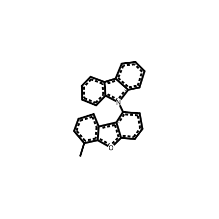 Cc1cccc2c1oc1cccc(-n3c4ccccc4c4ccccc43)c12